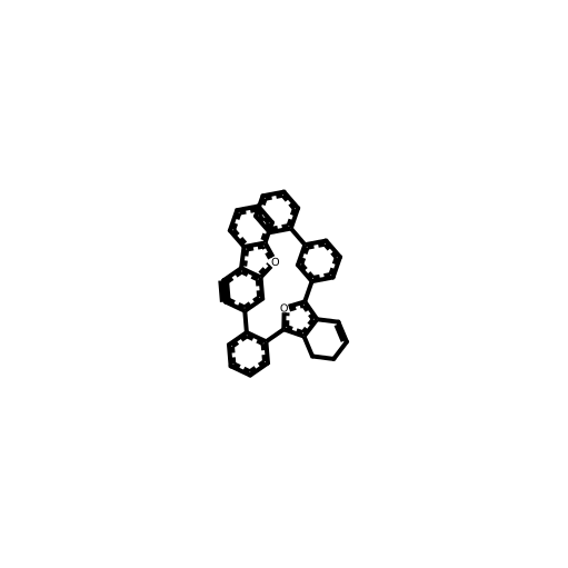 c1c(-c2ccccc2-c2oc(-c3cccc(-c4ccccc4)c3)c3c2CCC=C3)cc2oc3ccccc3c2c#1